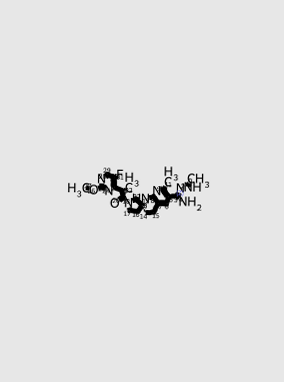 CN/N=C(\N)c1cc2c(nc1C)N[C@@]1(CC2)CCN(C(=O)[C@H](C)c2nc(OC)ncc2F)C1